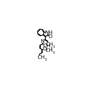 C\C=C(/N=C(C)/C=C\C(=C/CC)OC)c1c2cccccc-2[nH]c1=O